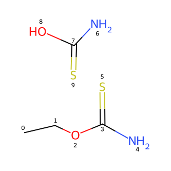 CCOC(N)=S.NC(O)=S